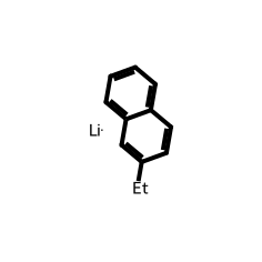 CCc1ccc2ccccc2c1.[Li]